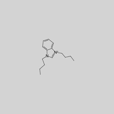 CCCCn1c[n+](CCCC)c2ccccc21